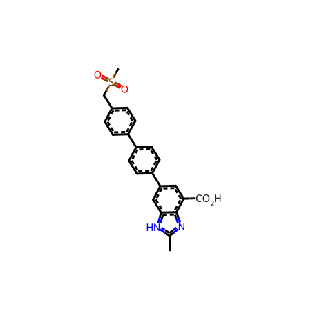 Cc1nc2c(C(=O)O)cc(-c3ccc(-c4ccc(CS(C)(=O)=O)cc4)cc3)cc2[nH]1